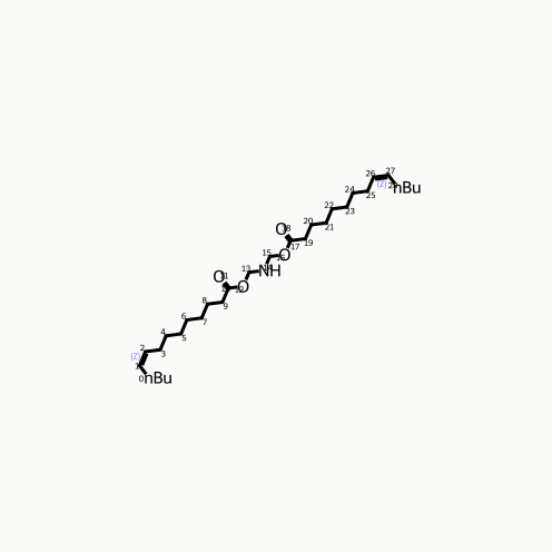 CCCC/C=C\CCCCCCCC(=O)OCNCOC(=O)CCCCCCC/C=C\CCCC